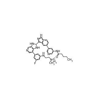 CCCCC(=O)Nc1cncc(-c2ccc3[nH]nc(C4Nc5cncc(-c6cc(F)cc(NCCN(C)C)c6)c5N4)c3c2)c1